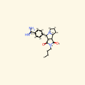 CCCCN1C(=O)C2C(C1=O)C(c1ccc(C(=N)N)cc1)N1CCCC21